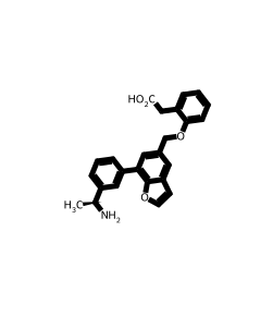 C[C@H](N)c1cccc(-c2cc(COc3ccccc3CC(=O)O)cc3ccoc23)c1